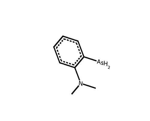 CN(C)c1ccccc1[AsH2]